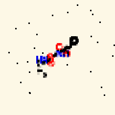 CCNC(=O)OCCNC(=O)C(=O)/C=C/c1ccccc1